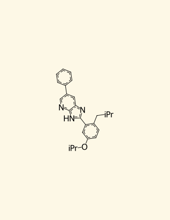 CC(C)Cc1ccc(OC(C)C)cc1-c1nc2cc(-c3ccccc3)cnc2[nH]1